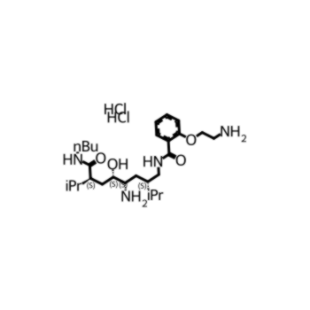 CCCCNC(=O)[C@@H](C[C@H](O)[C@@H](N)C[C@H](CNC(=O)c1ccccc1OCCN)C(C)C)C(C)C.Cl.Cl